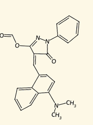 CN(C)c1ccc(/C=C2\C(=O)N(c3ccccc3)N=C2OC=O)c2ccccc12